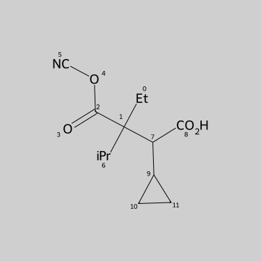 CCC(C(=O)OC#N)(C(C)C)C(C(=O)O)C1CC1